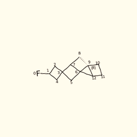 FC1CC2(C1)CC13C2C[C@@]12CCC32